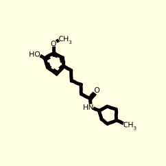 COc1cc(CCCCC(=O)NC2CCC(C)CC2)ccc1O